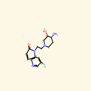 N[C@H]1CCN(CCn2c(=O)ccc3ncc(F)cc32)C[C@H]1O